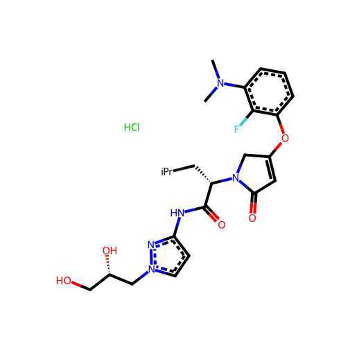 CC(C)C[C@@H](C(=O)Nc1ccn(C[C@@H](O)CO)n1)N1CC(Oc2cccc(N(C)C)c2F)=CC1=O.Cl